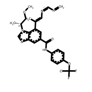 C=N/C=N\C=C(/C)c1cc(C(=O)Nc2ccc(OC(F)(F)Cl)cc2)cc2ncn([C@H](C)COC)c12